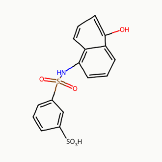 O=S(=O)(O)c1cccc(S(=O)(=O)Nc2cccc3c(O)cccc23)c1